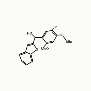 CCCCOc1cc(OC)c(C(O)c2cc3ccccc3s2)cc1Br